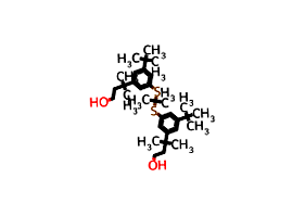 CC(C)(Sc1cc(C(C)(C)C)cc(C(C)(C)CCO)c1)Sc1cc(C(C)(C)C)cc(C(C)(C)CCO)c1